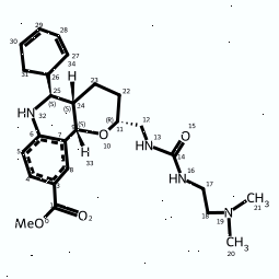 COC(=O)c1ccc2c(c1)[C@H]1O[C@@H](CNC(=O)NCCN(C)C)CC[C@H]1[C@H](C1C=CC=CC1)N2